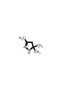 CC1=NNC(C)(C)C1